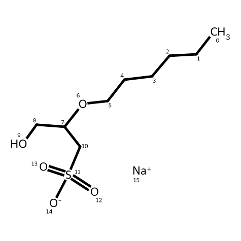 CCCCCCOC(CO)CS(=O)(=O)[O-].[Na+]